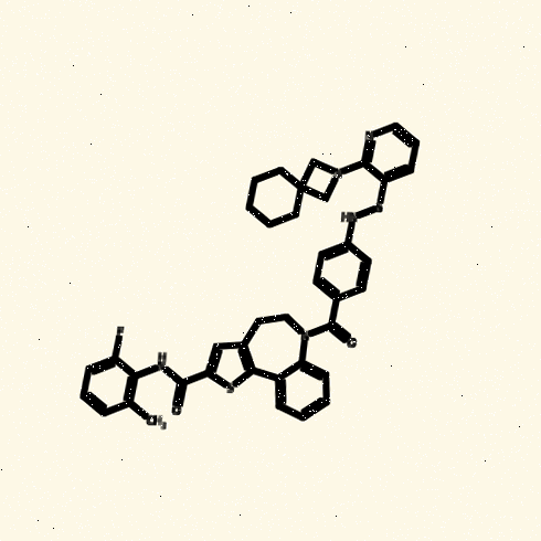 Cc1cccc(F)c1NC(=O)c1cc2c(s1)-c1ccccc1N(C(=O)c1ccc(NSc3cccnc3N3CC4(CCCCC4)C3)cc1)CC2